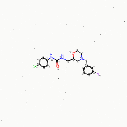 O=C(NCC1CN(Cc2cccc(I)c2)CCO1)Nc1ccc(Cl)cc1